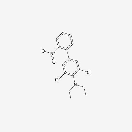 CCN(CC)c1c(Cl)cc(-c2ccccc2[N+](=O)[O-])cc1Cl